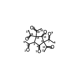 CC(=O)C1C(=O)C(C(C)=O)(C(C)=O)C(=O)C1(C(C)=O)C(C)=O